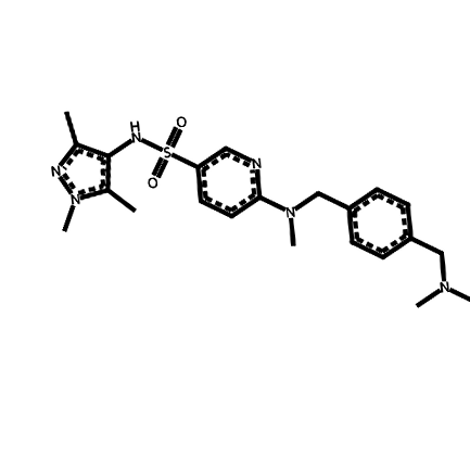 Cc1nn(C)c(C)c1NS(=O)(=O)c1ccc(N(C)Cc2ccc(CN(C)C)cc2)nc1